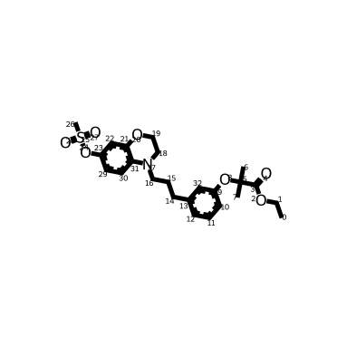 CCOC(=O)C(C)(C)Oc1cccc(CCCN2CCOc3cc(OS(C)(=O)=O)ccc32)c1